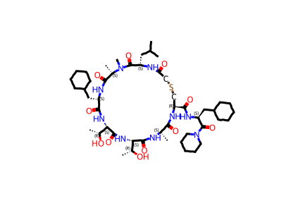 CC(C)C[C@@H]1NC(=O)CSC[C@@H](C(=O)N[C@@H](CC2CCCCC2)C(=O)N2CCCCC2)NC(=O)[C@H](C)NC(=O)[C@H]([C@@H](C)O)NC(=O)[C@H]([C@@H](C)O)NC(=O)[C@H](CC2CCCCC2)NC(=O)[C@H](C)N(C)C1=O